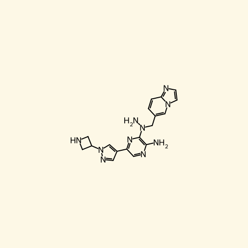 Nc1ncc(-c2cnn(C3CNC3)c2)nc1N(N)Cc1ccc2nccn2c1